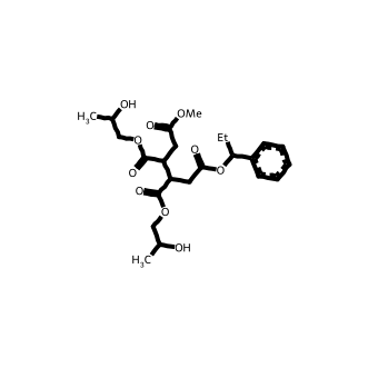 CCC(OC(=O)CC(C(=O)OCC(C)O)C(CC(=O)OC)C(=O)OCC(C)O)c1ccccc1